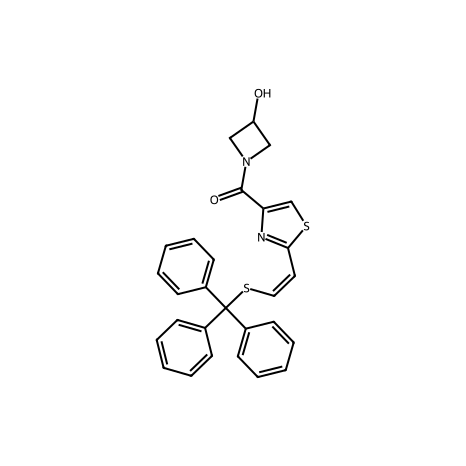 O=C(c1csc(/C=C\SC(c2ccccc2)(c2ccccc2)c2ccccc2)n1)N1CC(O)C1